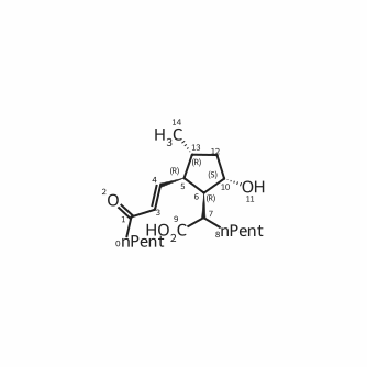 CCCCCC(=O)C=C[C@@H]1[C@H](C(CCCCC)C(=O)O)[C@@H](O)C[C@H]1C